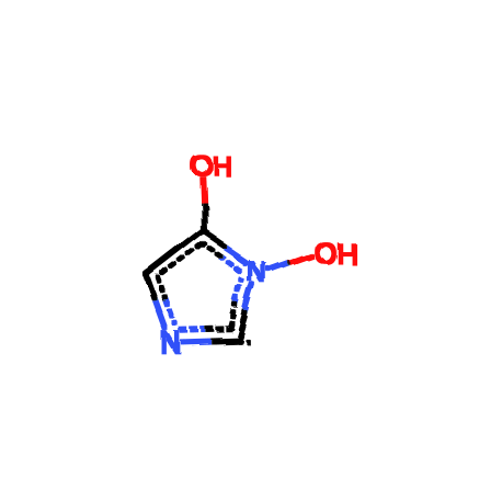 Oc1cn[c]n1O